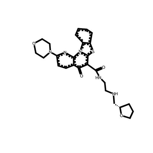 O=C(NCCNC[C@@H]1CCCO1)c1c(=O)c2ccc(N3CCOCC3)nc2n2c1sc1ccccc12